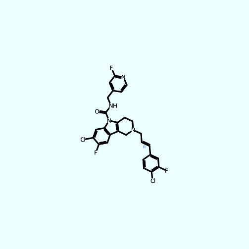 O=C(NCc1ccnc(F)c1)n1c2c(c3cc(F)c(Cl)cc31)CN(C/C=C/c1ccc(Cl)c(F)c1)CC2